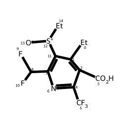 CCc1c(C(=O)O)c(C(F)(F)F)nc(C(F)F)c1[S+]([O-])CC